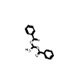 C[C](OC(=O)c1ccccc1)OC(=O)c1ccccc1